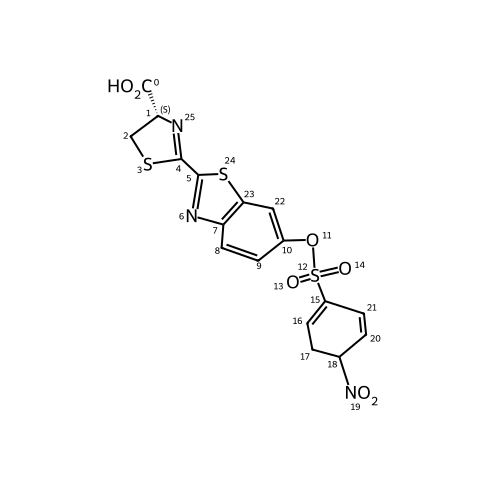 O=C(O)[C@H]1CSC(c2nc3ccc(OS(=O)(=O)C4=CCC([N+](=O)[O-])C=C4)cc3s2)=N1